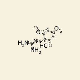 COc1ccc(CN=C(N)N)c(OC)c1.Cl